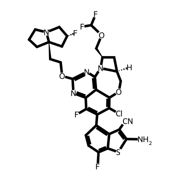 N#Cc1c(N)sc2c(F)ccc(-c3c(Cl)c4c5c(nc(OCC[C@@]67CCCN6C[C@H](F)C7)nc5c3F)N3[C@H](CO4)C[C@@H]3COC(F)F)c12